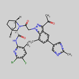 CC(=O)c1nn(CC(=O)N2[C@H]3CC[C@H](C3)[C@H]2C(=O)Nc2nc(Br)c(F)cc2C)c2c(C)cc(-c3cnc(C)nc3)cc12